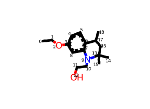 CCOc1ccc2c(c1)N(CCO)C(C)(C)CC2C